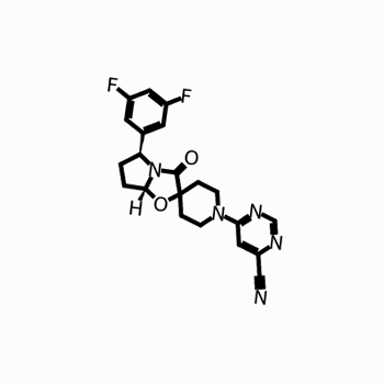 N#Cc1cc(N2CCC3(CC2)O[C@@H]2CC[C@@H](c4cc(F)cc(F)c4)N2C3=O)ncn1